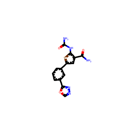 NC(=O)Nc1sc(-c2cccc(-c3nnco3)c2)cc1C(N)=O